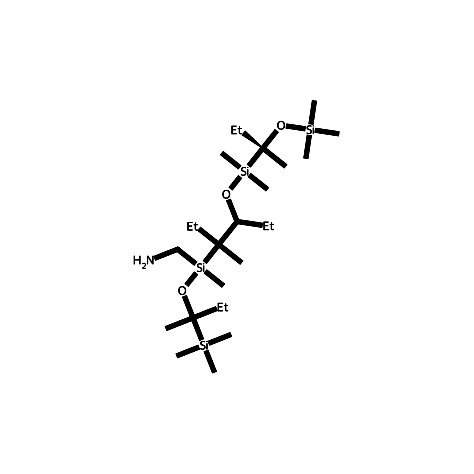 CCC(O[Si](C)(C)[C@](C)(CC)O[Si](C)(C)C)C(C)(CC)[Si](C)(CN)OC(C)(CC)[Si](C)(C)C